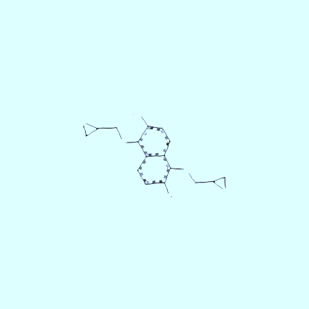 CCCCc1ccc2c(OCC3CO3)c(CCCC)ccc2c1OCC1CO1